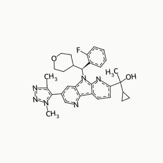 Cc1nnn(C)c1-c1cnc2c3ccc(C(C)(O)C4CC4)nc3n([C@H](c3ccccc3F)C3CCOCC3)c2c1